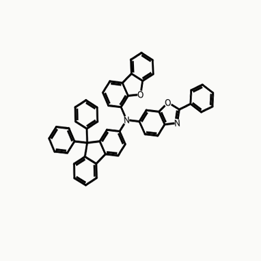 c1ccc(-c2nc3ccc(N(c4ccc5c(c4)C(c4ccccc4)(c4ccccc4)c4ccccc4-5)c4cccc5c4oc4ccccc45)cc3o2)cc1